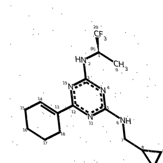 C[C@@H](Nc1nc(NCC2CC2)nc(C2=CCCCC2)n1)C(F)(F)F